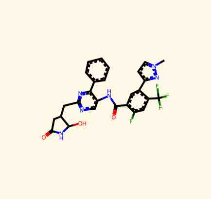 Cn1ccc(-c2cc(C(=O)Nc3cnc(CC4CC(=O)NC4O)nc3-c3ccccc3)c(F)cc2C(F)(F)F)n1